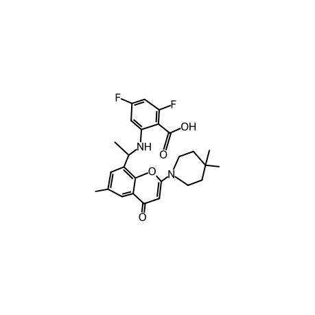 Cc1cc(C(C)Nc2cc(F)cc(F)c2C(=O)O)c2oc(N3CCC(C)(C)CC3)cc(=O)c2c1